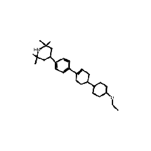 CCOC1CCC(C2CC=C(c3ccc(C4CC(C)(C)NC(C)(C)C4)cc3)CC2)CC1